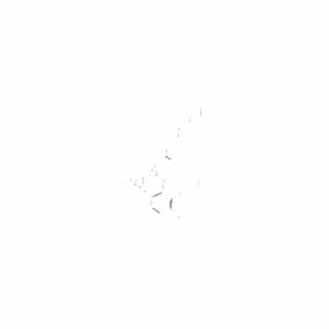 CCCCOC(=O)CN1Cc2c(ccc(Cl)c2Cl)N2NC12.Cl